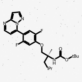 CC(C)C[C@@](C)(COc1cc(F)c(-c2ccnc3ccnn23)cc1F)NC(=O)OC(C)(C)C